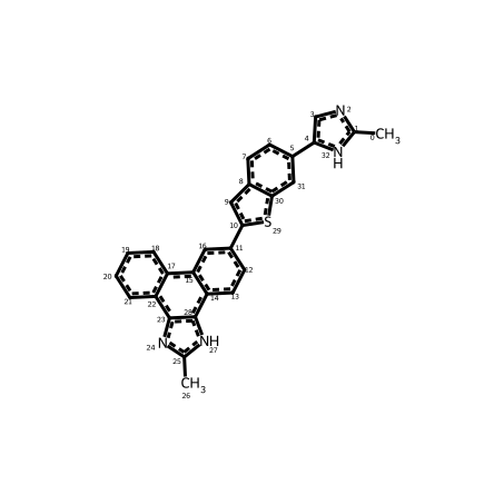 Cc1ncc(-c2ccc3cc(-c4ccc5c(c4)c4ccccc4c4nc(C)[nH]c54)sc3c2)[nH]1